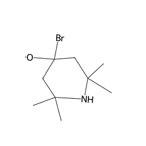 CC1(C)CC([O])(Br)CC(C)(C)N1